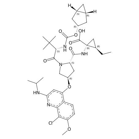 CC[C@@H]1C[C@]1(NC(=O)[C@@H]1C[C@@H](Oc2cc(NC(C)C)nc3c(Cl)c(OC)ccc23)CN1C(=O)[C@@H](NC(=O)O[C@@H]1C[C@@H]2C[C@@H]2C1)C(C)(C)C)C(=O)O